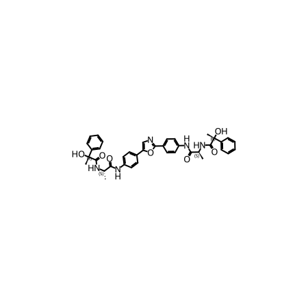 C[C@H](NC(=O)[C@](C)(O)c1ccccc1)C(=O)Nc1ccc(-c2cnc(-c3ccc(NC(=O)[C@H](C)NC(=O)[C@](C)(O)c4ccccc4)cc3)o2)cc1